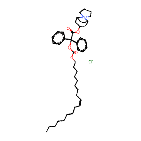 CCCCCCCC/C=C\CCCCCCCCOC(=O)OC(C(=O)OC1CC2CCC(C1)[N+]21CCCC1)(c1ccccc1)c1ccccc1.[Cl-]